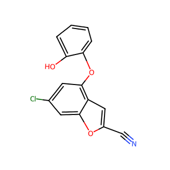 N#Cc1cc2c(Oc3ccccc3O)cc(Cl)cc2o1